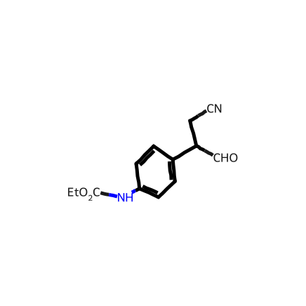 CCOC(=O)Nc1ccc(C(C=O)CC#N)cc1